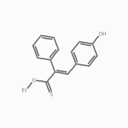 CCOC(=S)C(=Cc1ccc(O)cc1)c1ccccc1